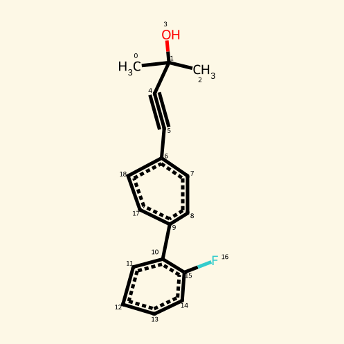 CC(C)(O)C#Cc1ccc(-c2ccccc2F)cc1